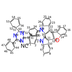 N#Cc1cc(-n2c3ccccc3c3c4oc5ccccc5c4c4c5ccccc5n(-c5ccccc5)c4c32)ccc1-c1nc(-c2ccccc2)nc(-c2ccccc2)n1